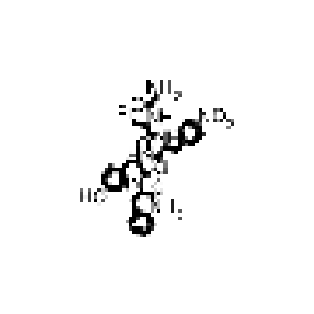 CC(C)CC(NC(=O)CN)C(=O)NC(Cc1ccc([N+](=O)[O-])cc1)C(=O)NC(Cc1ccc(O)cc1)C(=O)NC(Cc1ccccc1)C(N)=O